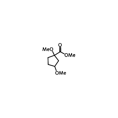 COC(=O)C1(OC)CCC(OC)C1